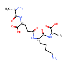 C[C@H](N)C(=O)N[C@@H](CCC(=O)N[C@@H](CCCCN)C(=O)N[C@H](C)C(=O)O)C(=O)O